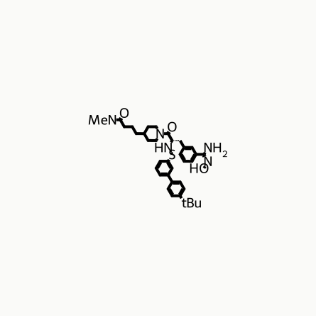 CNC(=O)CCCC1CCN(C(=O)[C@H](Cc2cccc(/C(N)=N\O)c2)NSc2cccc(-c3ccc(C(C)(C)C)cc3)c2)CC1